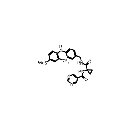 CSc1ccc(Nc2ccc(CNC(=O)C3(NC(=O)c4cncnc4)CC3)cc2)c(C(F)(F)F)c1